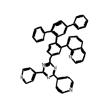 c1ccc(-c2ccc(-c3ccccc3)c(-c3ccc(-c4nc(-c5ccncc5)nc(-c5ccncc5)n4)cc3-c3cccc4cccnc34)c2)cc1